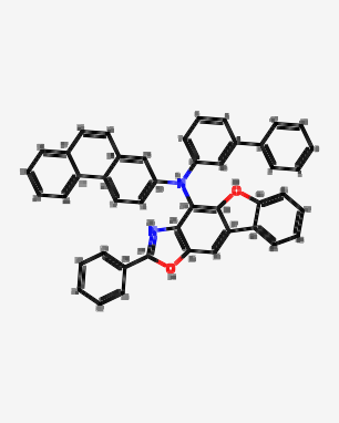 c1ccc(-c2cccc(N(c3ccc4c(ccc5ccccc54)c3)c3c4nc(-c5ccccc5)oc4cc4c3oc3ccccc34)c2)cc1